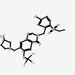 CCS(=O)(=O)c1ccc(Cl)cc1Cn1cnc2cc(CN3CCC(N)C3)c(OC(F)(F)F)cc2c1=O